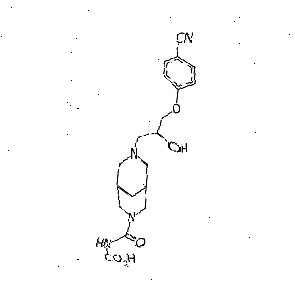 N#Cc1ccc(OCC(O)CN2CC3CC(C2)CN(C(=O)NC(=O)O)C3)cc1